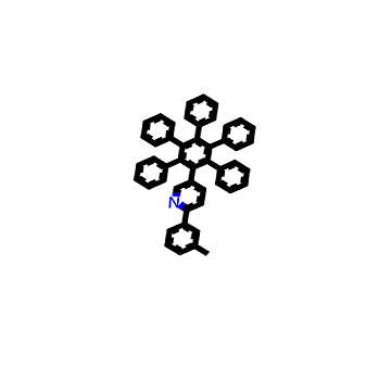 Cc1cccc(-c2ccc(-c3c(-c4ccccc4)c(-c4ccccc4)c(-c4ccccc4)c(-c4ccccc4)c3-c3ccccc3)cn2)c1